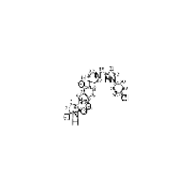 O=C1CCC(N2Cc3c(ccc4c3OCC43CCN(Cc4ccn(-c5ccc(Cl)cc5)n4)CC3)C2=O)C(=O)N1